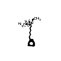 CCO[Si](C)(CCCCCCC1CC2CCC1C2)OCC